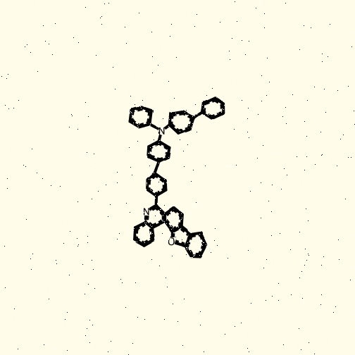 c1ccc(-c2ccc(N(c3ccccc3)c3ccc(-c4ccc(-c5nc6ccccc6c6c5ccc5c7ccccc7oc56)cc4)cc3)cc2)cc1